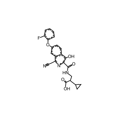 N#Cc1nc(C(=O)NCC(C(=O)O)C2CC2)c(O)c2ccc(Oc3ccccc3F)cc12